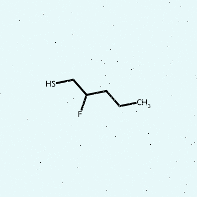 CCCC(F)CS